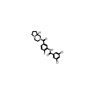 O=C(Nc1cc(C(=O)N2CCN3CCC[C@@H]3C2)ccc1F)c1cc(Cl)cc(Cl)c1